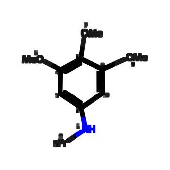 CCCNc1cc(OC)c(OC)c(OC)c1